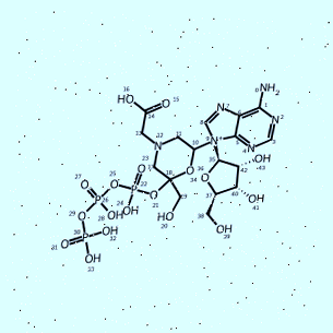 Nc1ncnc2c1N=C[N+]2(C1CN(CC(=O)O)CC(CO)(OP(=O)(O)OP(=O)(O)OP(=O)(O)O)O1)[C@@H]1O[C@H](CO)[C@@H](O)[C@H]1O